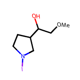 COCC(O)C1CCN(I)C1